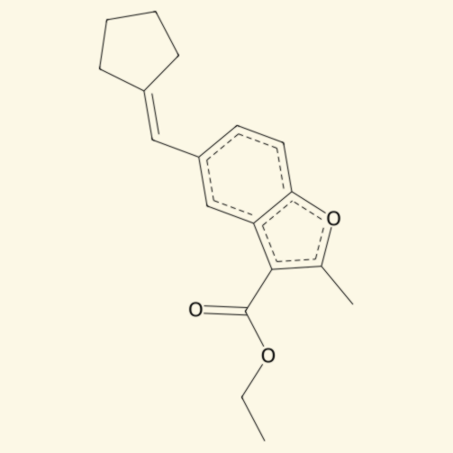 CCOC(=O)c1c(C)oc2ccc(C=C3CCCC3)cc12